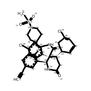 C#Cc1ccc(OC2CCN(S(C)(=O)=O)CC2)c([C@@H]2NC(=O)C[C@@H](C3C=CC=C(Cl)C3)[C@]23C(=O)Nc2cc(Cl)ccc23)c1